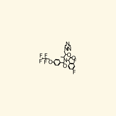 CC1C(Cn2cncn2)OC(=O)C(c2ccc(F)cc2F)N1C(=O)c1ccc(OCC(F)(F)C(F)F)cc1